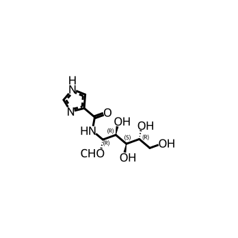 O=C[C@H](NC(=O)c1c[nH]cn1)[C@@H](O)[C@H](O)[C@H](O)CO